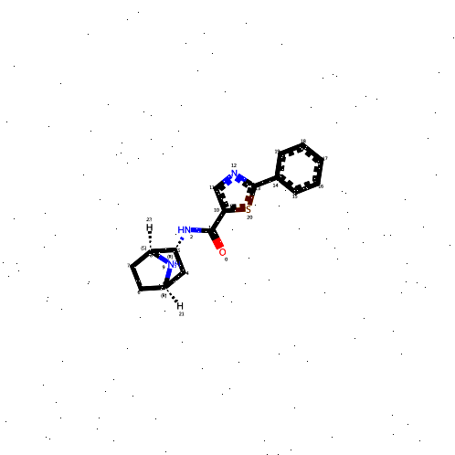 O=C(N[C@@H]1C[C@H]2CC[C@@H]1N2)c1cnc(-c2ccccc2)s1